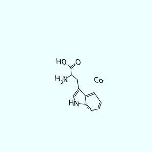 NC(Cc1c[nH]c2ccccc12)C(=O)O.[Co]